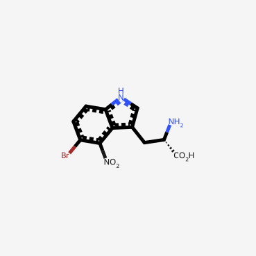 N[C@@H](Cc1c[nH]c2ccc(Br)c([N+](=O)[O-])c12)C(=O)O